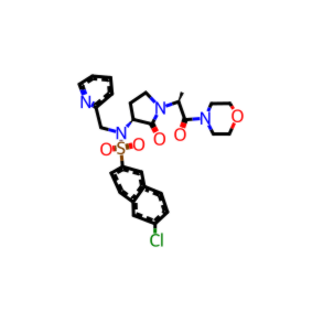 C[C@@H](C(=O)N1CCOCC1)N1CC[C@H](N(Cc2ccccn2)S(=O)(=O)c2ccc3cc(Cl)ccc3c2)C1=O